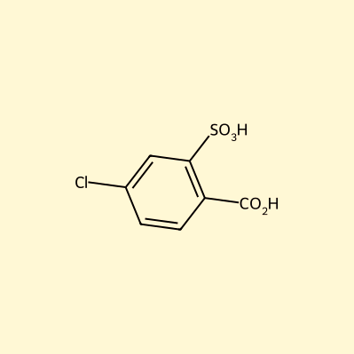 O=C(O)c1ccc(Cl)cc1S(=O)(=O)O